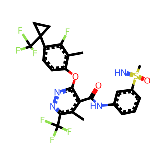 Cc1c(Oc2nnc(C(F)(F)F)c(C)c2C(=O)Nc2cccc(S(C)(=N)=O)c2)ccc(C2(C(F)(F)F)CC2)c1F